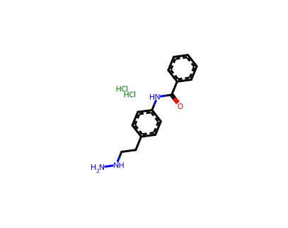 Cl.Cl.NNCCc1ccc(NC(=O)c2ccccc2)cc1